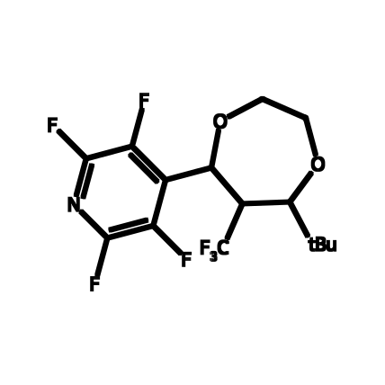 CC(C)(C)C1OCCOC(c2c(F)c(F)nc(F)c2F)C1C(F)(F)F